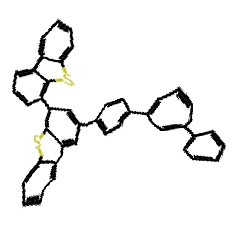 c1ccc(-c2cccc(-c3ccc(-c4cc(-c5cccc6c5sc5ccccc56)c5sc6ccccc6c5c4)cc3)c2)cc1